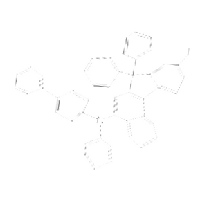 Fc1ccc2c(c1)C(c1ccccc1)(c1ccccc1)c1cc(N(c3ccccc3)c3ccc(-c4ccccc4)cc3)c3ccccc3c1-2